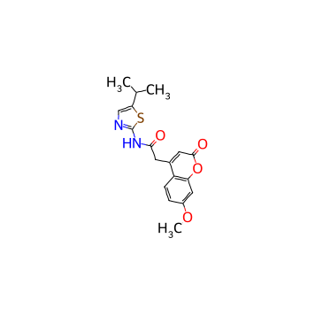 COc1ccc2c(CC(=O)Nc3ncc(C(C)C)s3)cc(=O)oc2c1